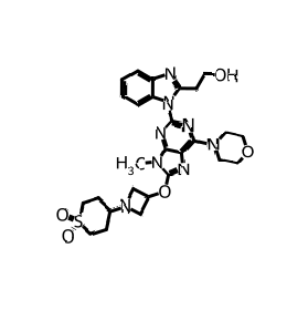 Cn1c(OC2CN(C3CCS(=O)(=O)CC3)C2)nc2c(N3CCOCC3)nc(-n3c(CCO)nc4ccccc43)nc21